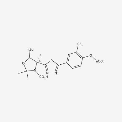 CCCCCCCCOc1ccc(-c2nnc([C@]3(C)C(C(C)(C)C)OC(C)(C)N3C(=O)O)s2)cc1C(F)(F)F